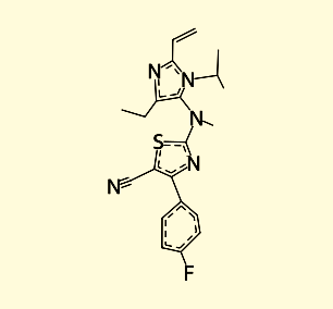 C=Cc1nc(CC)c(N(C)c2nc(-c3ccc(F)cc3)c(C#N)s2)n1C(C)C